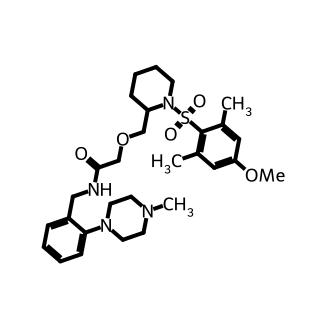 COc1cc(C)c(S(=O)(=O)N2CCCCC2COCC(=O)NCc2ccccc2N2CCN(C)CC2)c(C)c1